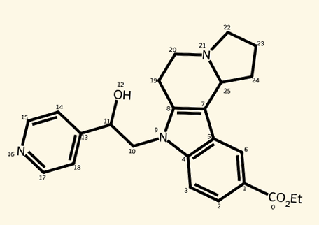 CCOC(=O)c1ccc2c(c1)c1c(n2CC(O)c2ccncc2)CCN2CCCC12